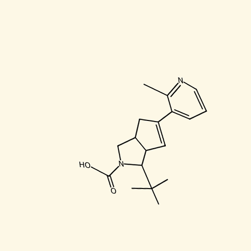 Cc1ncccc1C1=CC2C(C1)CN(C(=O)O)C2C(C)(C)C